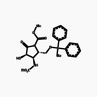 CCOC(=O)N[C@@H]1[C@@H](CO[Si](c2ccccc2)(c2ccccc2)C(C)(C)C)N(C(=O)OC(C)(C)C)C(=O)[C@@H]1O